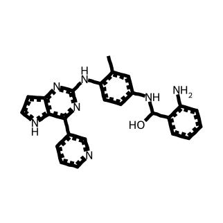 Cc1cc(NC(O)c2ccccc2N)ccc1Nc1nc(-c2cccnc2)c2[nH]ccc2n1